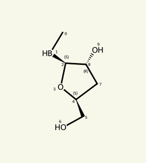 CB[C@@H]1O[C@H](CO)C[C@H]1O